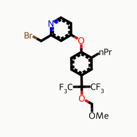 CCCc1cc(C(OCOC)(C(F)(F)F)C(F)(F)F)ccc1Oc1ccnc(CBr)c1